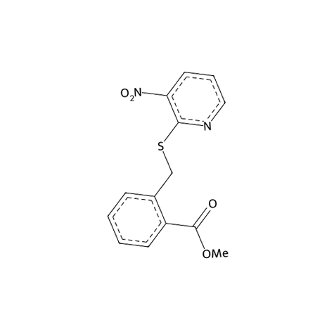 COC(=O)c1ccccc1CSc1ncccc1[N+](=O)[O-]